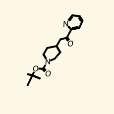 CC(C)(C)OC(=O)N1CCC(CC(=O)c2ccccn2)CC1